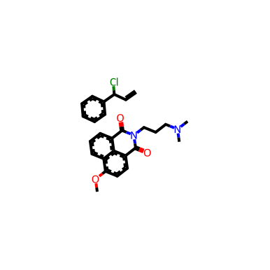 C=CC(Cl)c1ccccc1.COc1ccc2c3c(cccc13)C(=O)N(CCCN(C)C)C2=O